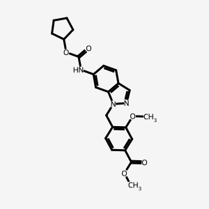 COC(=O)c1ccc(Cn2ncc3ccc(NC(=O)OC4CCCC4)cc32)c(OC)c1